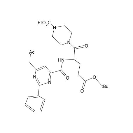 CCOC(=O)N1CCN(C(=O)C(CCC(=O)OC(C)(C)C)NC(=O)c2cc(CC(C)=O)nc(-c3ccccc3)n2)CC1